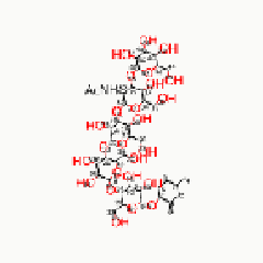 C=C1CC(C)CCC1O[C@@H]1OC(CO)[C@@H](O[C@@H]2OC(CO)[C@H](O[C@H]3OC(CO)[C@H](O)C(O[C@@H]4OC(CO)[C@H](O)C(O[C@@H]5OC(CO)[C@H](O)C(O)C5O)C4NC(C)=O)C3O)C(O)C2O)C(O)C1O